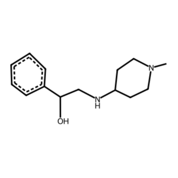 CN1CCC(NCC(O)c2ccccc2)CC1